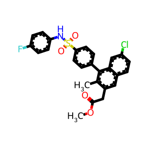 COC(=O)Cc1cc2ccc(Cl)cc2c(-c2ccc(S(=O)(=O)Nc3ccc(F)cc3)cc2)c1C